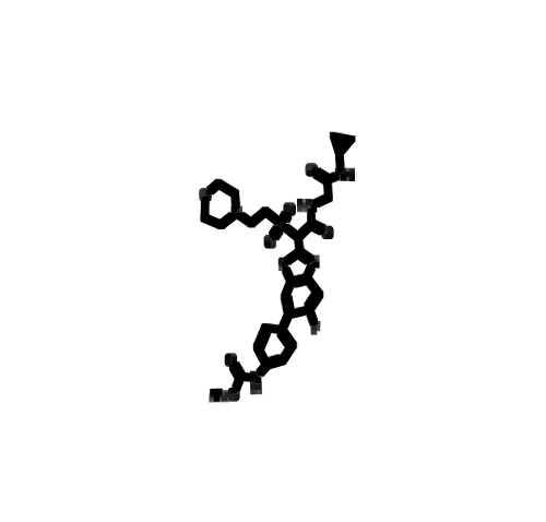 COC(=O)Nc1ccc(-c2cc3sc(C(C(=O)NCC(=O)NC4CC4)S(=O)(=O)CCN4CCOCC4)nc3cc2F)cc1